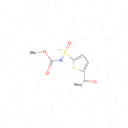 COC(=O)c1ccc(S(C)(=O)=NC(=O)OC(C)(C)C)s1